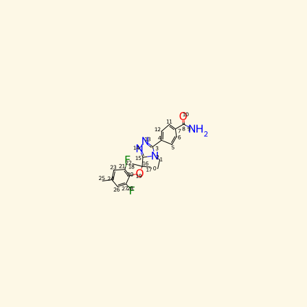 CCn1c(-c2ccc(C(N)=O)cc2)nnc1C(C)(C)Oc1c(F)cc(C)cc1F